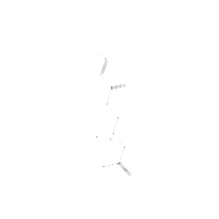 C=C(I)C[C@H](Cl)CCC(=O)C=CBr